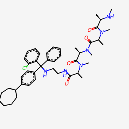 CN[C@H](C)C(=O)N(C)C(C)C(=O)N(C)[C@H](C)C(=O)N(C)C(C)C(=O)NCCNC(c1ccccc1)(c1ccc(C2CCCCCC2)cc1)c1ccccc1Cl